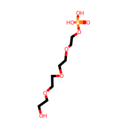 O=P(O)(O)OCCOCCOCCOCCO